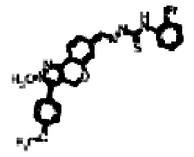 CC(C)c1ccccc1NC(=S)N=NC=C1C=CC2C(=C1)OCc1c2nn(C)c1-c1ccc(OC(F)(F)F)cc1